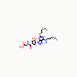 CCCCNc1nc(SCCC)nc2c1nnn2[C@@H]1C[C@H](C(=O)NCC(=O)O)C[C@@H]1O